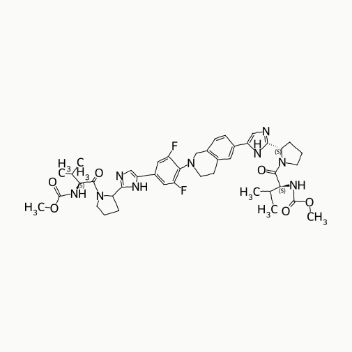 COC(=O)N[C@H](C(=O)N1CCCC1c1ncc(-c2cc(F)c(N3CCc4cc(-c5cnc([C@@H]6CCCN6C(=O)[C@@H](NC(=O)OC)C(C)C)[nH]5)ccc4C3)c(F)c2)[nH]1)C(C)C